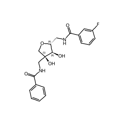 O=C(NC[C@H]1OC[C@@](O)(CNC(=O)c2ccccc2)[C@@H]1O)c1cccc(F)c1